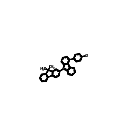 CC1(C)c2ccccc2-c2ccc(-n3c4ccccc4c4c(-c5ccc(Cl)cc5)cccc43)cc21